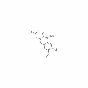 CC(C)(C)OC(=O)N(Cc1ccc(Cl)c(CO)c1)CC(F)F